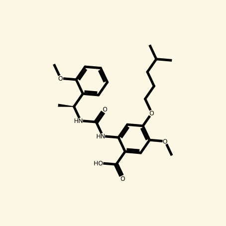 COc1cc(C(=O)O)c(NC(=O)N[C@@H](C)c2ccccc2OC)cc1OCCCC(C)C